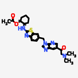 CC(=O)O[C@@H]1CCCC[C@H]1Nc1nc2ccc(Cn3cnc4cc(C(=O)CN(C)C)cnc43)cc2s1